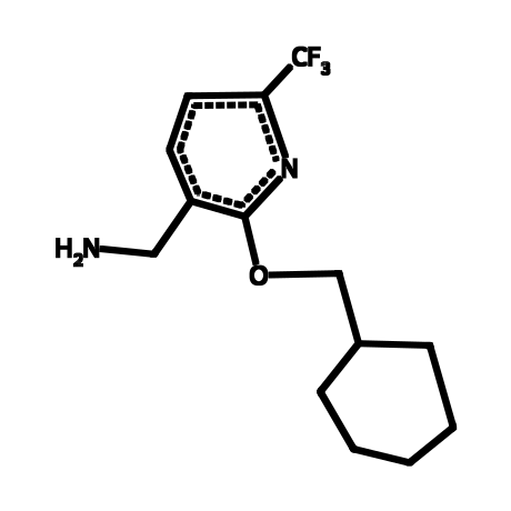 NCc1ccc(C(F)(F)F)nc1OCC1CCCCC1